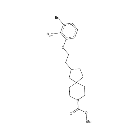 Cc1c(Br)cccc1OCCC1CCC2(CCN(C(=O)OC(C)(C)C)CC2)C1